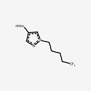 CCCCCCc1cnn(CCCCC(F)(F)F)c1